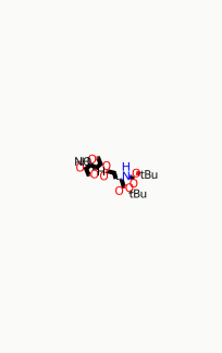 CC(C)(C)OC(=O)N[C@@H](CCC(=O)O[C@H]1CO[C@H]2[C@@H]1OC[C@H]2O[N+](=O)[O-])C(=O)OC(C)(C)C